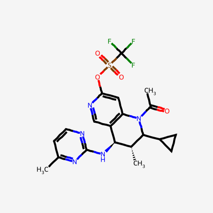 CC(=O)N1c2cc(OS(=O)(=O)C(F)(F)F)ncc2[C@H](Nc2nccc(C)n2)[C@@H](C)C1C1CC1